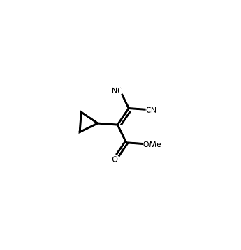 COC(=O)C(=C(C#N)C#N)C1CC1